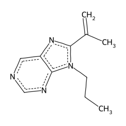 C=C(C)c1nc2cncnc2n1CCC